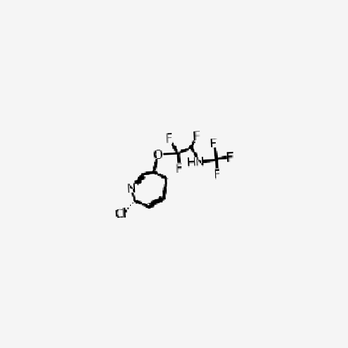 FC(NC(F)(F)F)C(F)(F)OC1C=N[C@@H](Cl)C=CC1